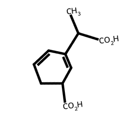 CC(C(=O)O)C1=CC(C(=O)O)CC=C1